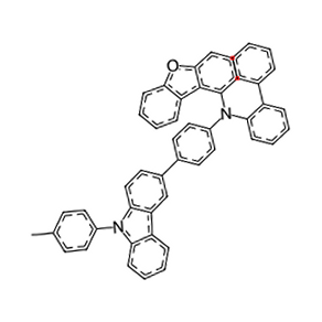 Cc1ccc(-n2c3ccccc3c3cc(-c4ccc(N(c5ccccc5-c5ccccc5)c5cccc6oc7ccccc7c56)cc4)ccc32)cc1